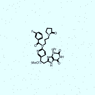 CCCn1c(=O)[nH]c(=O)c2[nH]c(C[C@H](OC)c3ccc(N(CCCN4CCCC4=O)C(=O)c4cccc(F)c4)nc3)nc21